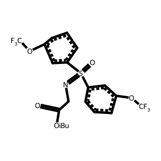 CC(C)COC(=O)CN=S(=O)(c1cccc(OC(F)(F)F)c1)c1cccc(OC(F)(F)F)c1